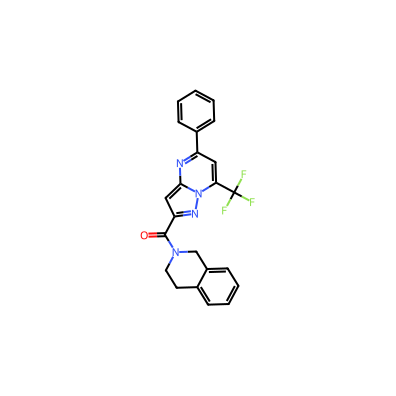 O=C(c1cc2nc(-c3ccccc3)cc(C(F)(F)F)n2n1)N1CCc2ccccc2C1